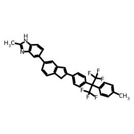 Cc1ccc(C(c2ccc(C3=Cc4cc(-c5ccc6[nH]c(C)nc6c5)ccc4C3)cc2)(C(F)(F)F)C(F)(F)F)cc1